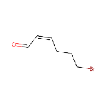 O=C/C=C\CCCBr